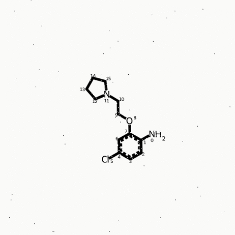 Nc1ccc(Cl)cc1OCCN1CCCC1